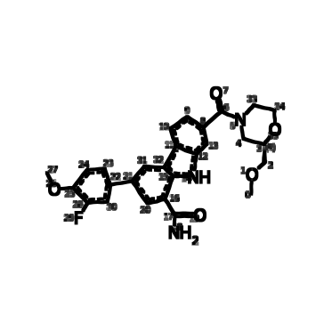 COC[C@H]1CN(C(=O)c2ccc3c(c2)[nH]c2c(C(N)=O)cc(-c4ccc(OC)c(F)c4)cc23)CCO1